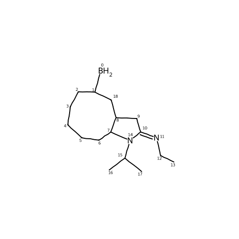 BC1CCCCCC2C(C/C(=N/CC)N2C(C)C)C1